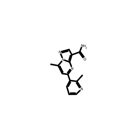 Cc1ncccc1-c1cc(C)n2ncc(C(N)=O)c2n1